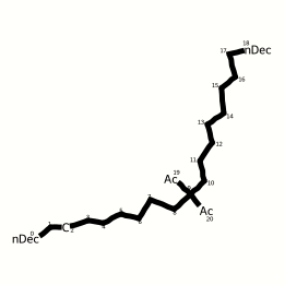 CCCCCCCCCCCCCCCCCCC(CCCCCCCCCCCCCCCCCC)(C(C)=O)C(C)=O